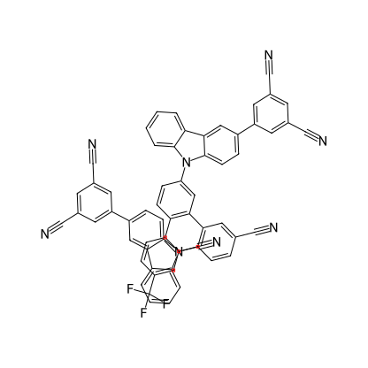 N#Cc1cc(C#N)cc(-c2ccc3c(c2)c2ccccc2n3-c2ccc(-c3ccc(C(F)(F)F)cc3C#N)c(-c3cc(C#N)ccc3-n3c4ccccc4c4cc(-c5cc(C#N)cc(C#N)c5)ccc43)c2)c1